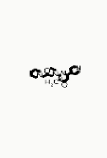 Cn1c(N2CCOC(CN3CCCCC3)C2)nc(-c2ccncc2)cc1=O